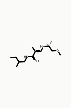 CCC(C)CNC(=N)/C(C)=C/N[C@H](C)COC